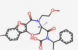 COCCN1C(=O)c2oc3cc(Br)ccc3c2OC[C@]1(C)C(=O)N(C(=O)O)C(C)c1ccccc1